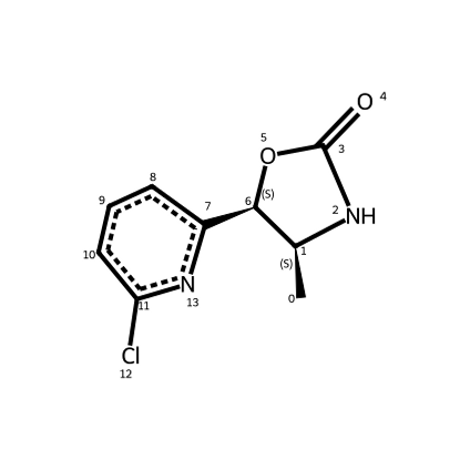 C[C@@H]1NC(=O)O[C@@H]1c1cccc(Cl)n1